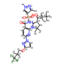 Cc1nn(C)cc1S(=O)(=O)NC(=O)c1ccc(-n2ccc(OCC(C)(C)C(F)(F)F)n2)nc1N1CC(C(O)[Si](C)(C)C(C)(C)C)CC1(C)C